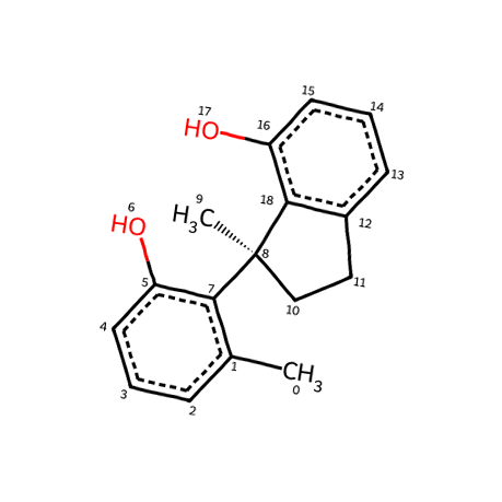 Cc1cccc(O)c1[C@]1(C)CCc2cccc(O)c21